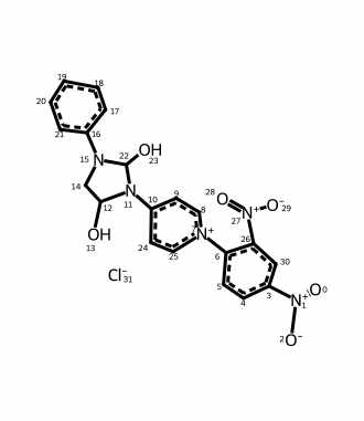 O=[N+]([O-])c1ccc(-[n+]2ccc(N3C(O)CN(c4ccccc4)C3O)cc2)c([N+](=O)[O-])c1.[Cl-]